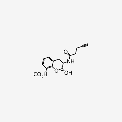 C#CCCC(=O)NC1Cc2cccc(C(=O)O)c2OB1O